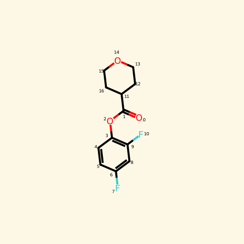 O=C(Oc1ccc(F)cc1F)C1CCOCC1